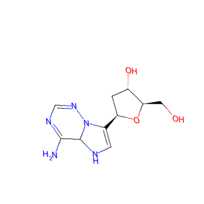 NC1=NC=NN2C([C@H]3C[C@H](O)[C@@H](CO)O3)=CNC12